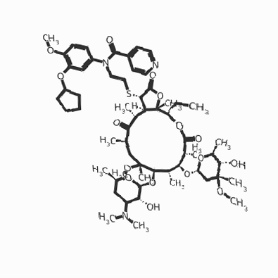 CC[C@H]1OC(=O)[C@H](C)[C@@H](O[C@H]2C[C@@](C)(OC)[C@@H](O)[C@H](C)O2)[C@H](C)[C@@H](O[C@@H]2O[C@H](C)CC(N(C)C)[C@H]2O)[C@](C)(OC)C[C@@H](C)C(=O)[C@H](C)[C@H]2[C@H](SCCN(C(=O)c3ccncc3)c3ccc(OC)c(OC4CCCC4)c3)C(=O)O[C@@]21C